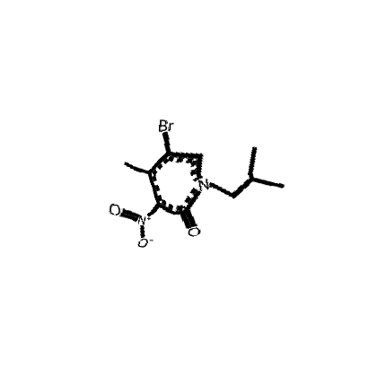 Cc1c(Br)cn(CC(C)C)c(=O)c1[N+](=O)[O-]